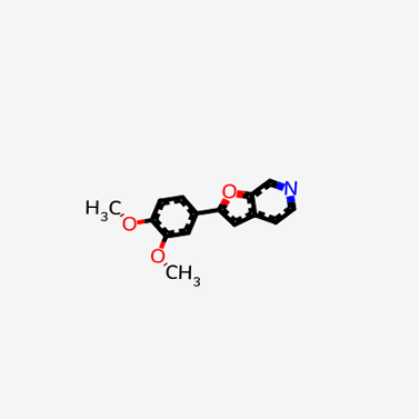 COc1ccc(-c2cc3ccncc3o2)cc1OC